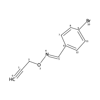 C#CCON=[C]c1ccc(Br)cc1